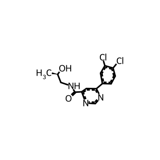 C[C@@H](O)CNC(=O)c1cc(-c2ccc(Cl)c(Cl)c2)ncn1